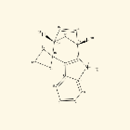 Cn1c2c(c3ccccc31)C1(CCC1)[C@@H]1C=C[C@H]2C1